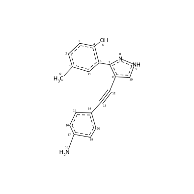 Cc1ccc(O)c(-c2n[nH]cc2C#Cc2ccc(N)cc2)c1